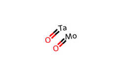 [O]=[Mo].[O]=[Ta]